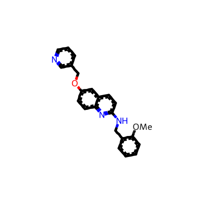 COc1ccccc1CNc1ccc2cc(OCc3cccnc3)ccc2n1